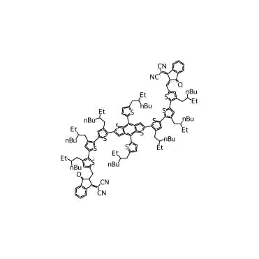 CCCCC(CC)Cc1ccc(-c2c3cc(-c4sc(-c5sc(-c6sc(CC7C(=O)c8ccccc8C7=C(C#N)C#N)cc6CC(CC)CCCC)cc5CC(CC)CCCC)cc4CC(CC)CCCC)sc3c(-c3ccc(CC(CC)CCCC)s3)c3cc(-c4sc(-c5sc(-c6sc(/C=C7\C(=O)c8ccccc8C7=C(C#N)C#N)cc6CC(CC)CCCC)cc5CC(CC)CCCC)cc4CC(CC)CCCC)sc23)s1